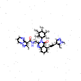 [2H]c1c([2H])c([2H])c(-n2c([C@@H](C)NC(=O)c3c(C)nn4cccnc34)nc3cccc(C#Cc4cnn(C)c4C)c3c2=O)c([2H])c1[2H]